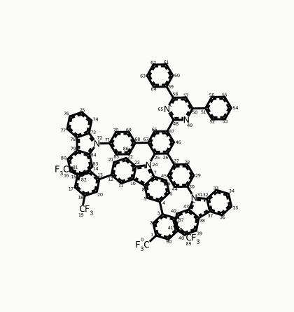 FC(F)(F)c1cc(-c2ccc3c(c2)c2cc(-c4cc(C(F)(F)F)cc(C(F)(F)F)c4)ccc2n3-c2c(-c3ccc(-n4c5ccccc5c5ccccc54)cc3)cc(-c3nc(-c4ccccc4)cc(-c4ccccc4)n3)cc2-c2ccc(-n3c4ccccc4c4ccccc43)cc2)cc(C(F)(F)F)c1